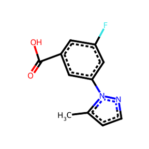 Cc1ccnn1-c1cc(F)cc(C(=O)O)c1